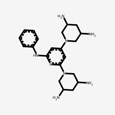 NC1CC(N)CN(c2cc(Nc3ccccc3)nc(N3CC(N)CC(N)C3)c2)C1